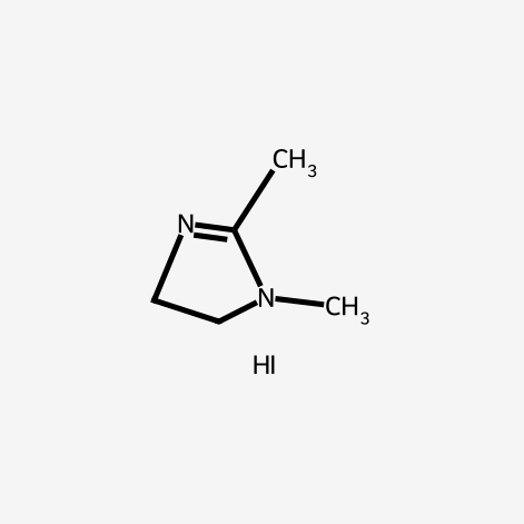 CC1=NCCN1C.I